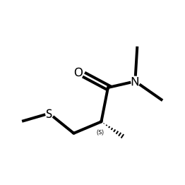 CSC[C@@H](C)C(=O)N(C)C